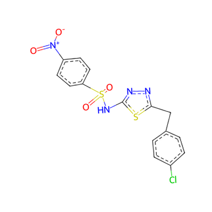 O=[N+]([O-])c1ccc(S(=O)(=O)Nc2nnc(Cc3ccc(Cl)cc3)s2)cc1